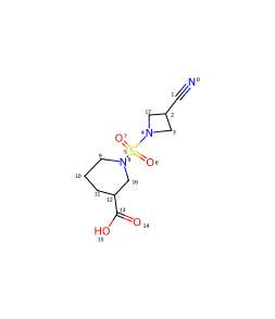 N#CC1CN(S(=O)(=O)N2CCCC(C(=O)O)C2)C1